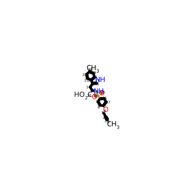 CC#CCOc1ccc(S(=O)(=O)N[C@@H](Cc2c[nH]c3cc(C)ccc23)C(=O)O)cc1